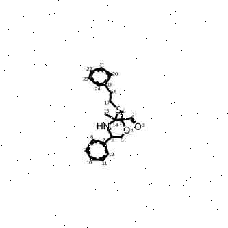 CC1(C=O)OCC(c2ccccc2)NC1(C)SCCc1ccccc1